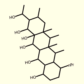 CCCC1CCC(O)C2C(O)C3C(O)C4(O)C(O)C(C(C)O)C(C)CC4(C)C(C)C3(C)C(C)C12